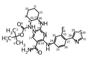 CC(C)(C)OC(=O)N[C@H]1CCCC[C@H]1Nc1ncc(C(N)=O)c(Nc2ccc(-c3cscn3)c(F)c2)n1